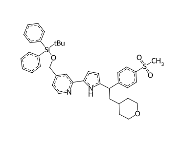 CC(C)(C)[Si](OCc1ccnc(-c2ccc(C(CC3CCOCC3)c3ccc(S(C)(=O)=O)cc3)[nH]2)c1)(c1ccccc1)c1ccccc1